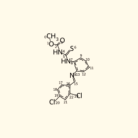 COC(=O)NC(=S)Nc1ccccc1/N=C/c1ccc(Cl)cc1Cl